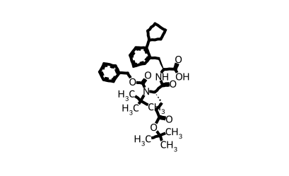 CC(C)(C)OC(=O)CC[C@@H](C(=O)N[C@@H](Cc1ccccc1C1CCCC1)C(=O)O)N(C(=O)OCc1ccccc1)C(C)(C)C